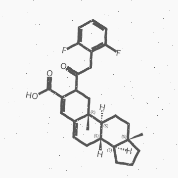 C[C@@]12CCC[C@H]1[C@@H]1CC=C3C=C(C(=O)O)C(C(=O)Cc4c(F)cccc4F)C[C@]3(C)[C@H]1CC2